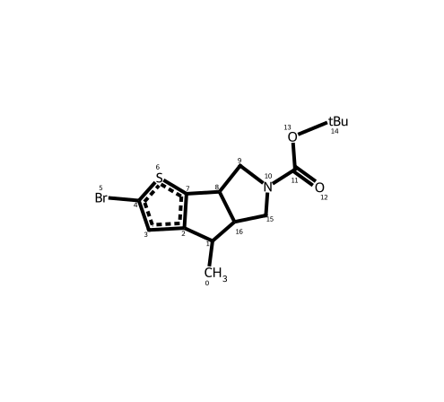 CC1c2cc(Br)sc2C2CN(C(=O)OC(C)(C)C)CC12